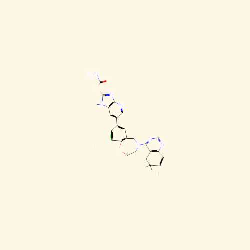 Cl.Cl.Cn1c(OC(N)=O)nc2ncc(-c3ccc4c(c3)CN(c3ncnc5c3CC(C)(C)C=C5)CCO4)cc21